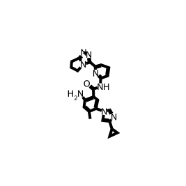 Cc1cc(N)c(C(=O)Nc2cccc(-c3nnc4n3CCC4)n2)cc1-n1cnc(C2CC2)c1